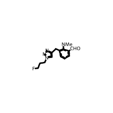 CNc1c(C=O)cccc1Cc1cn(CCCF)nn1